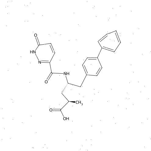 C[C@H](C[C@@H](Cc1ccc(-c2ccccc2)cc1)NC(=O)c1ccc(=O)[nH]n1)C(=O)O